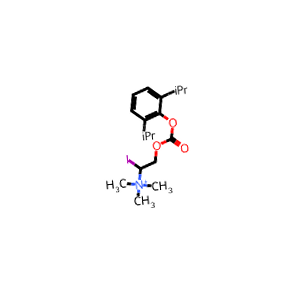 CC(C)c1cccc(C(C)C)c1OC(=O)OCC(I)[N+](C)(C)C